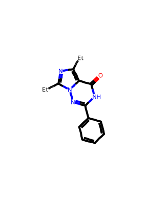 CCc1nc(CC)n2nc(-c3ccccc3)[nH]c(=O)c12